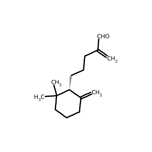 C=C(C=O)CCC[C@@H]1C(=C)CCCC1(C)C